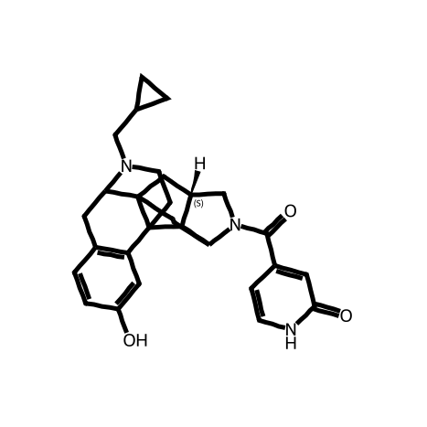 O=C(c1cc[nH]c(=O)c1)N1C[C@H]2CC34CCC1C2C31CCN(CC2CC2)C4Cc2ccc(O)cc21